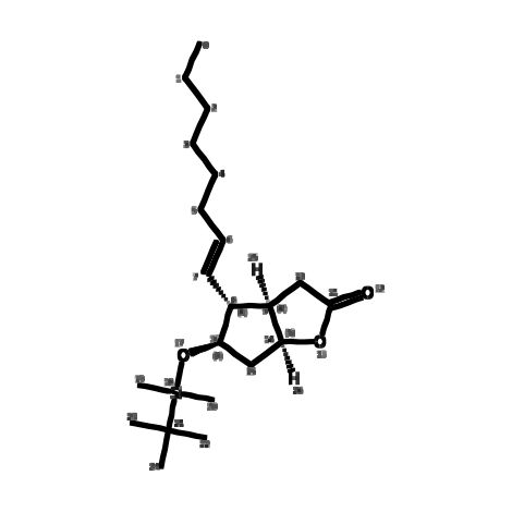 CCCCCCC=C[C@@H]1[C@H]2CC(=O)O[C@H]2C[C@H]1O[Si](C)(C)C(C)(C)C